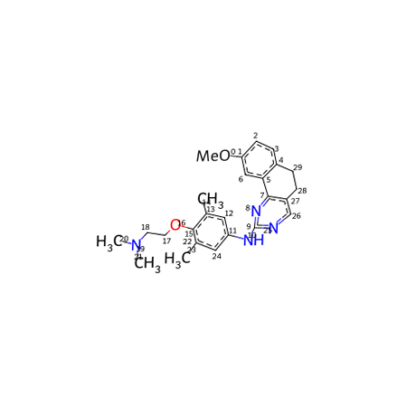 COc1ccc2c(c1)-c1nc(Nc3cc(C)c(OCCN(C)C)c(C)c3)ncc1CC2